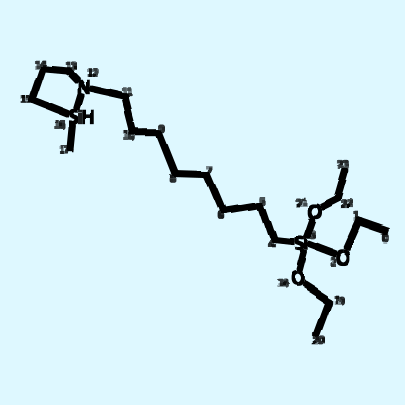 CCO[Si](CCCCCCCCN1CCC[SiH]1C)(OCC)OCC